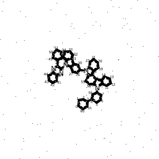 c1ccc(-c2cccc(-n3c4ccccc4c4c5c6ccccc6n(-c6ccc7c(c6)c6ccccc6n7-c6nc7ccccc7nc6-c6ccccc6)c5ccc43)c2)cc1